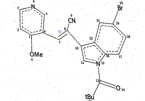 COc1ccncc1/C=C(\C#N)c1cn(C(=O)C(C)(C)C)c2ccc(Br)cc12